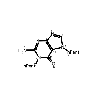 CCCCCn1c(N)nc2ncn(CCCCC)c2c1=O